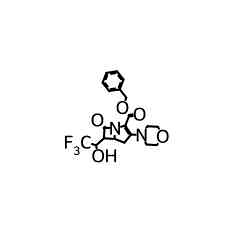 O=C(OCc1ccccc1)C1=C(N2CCOCC2)CC2C(C(O)C(F)(F)F)C(=O)N12